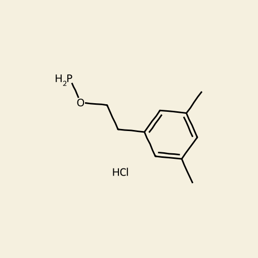 Cc1cc(C)cc(CCOP)c1.Cl